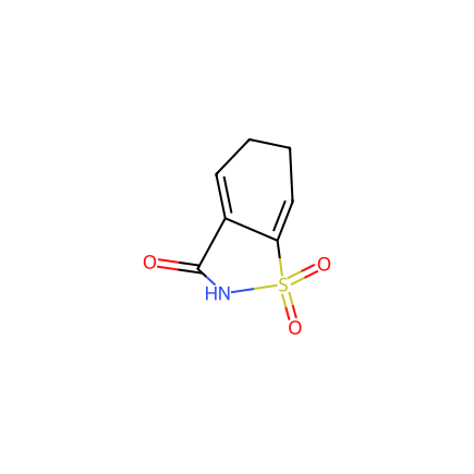 O=C1NS(=O)(=O)C2=CCCC=C12